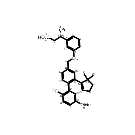 CCC[C@@H](CC(=O)O)c1cccc(OCc2ccc(-c3cc(OC)ccc3F)c(C3=CCCC3(C)C)c2)c1